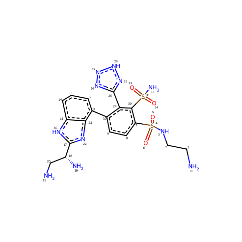 NCCNS(=O)(=O)c1ccc(-c2cccc3[nH]c([C@H](N)CN)nc23)c(-c2nn[nH]n2)c1S(N)(=O)=O